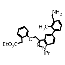 CCOC(=O)Cc1ccccc1OCc1nn(C(C)C)c2ccc(-c3cccc(CN)c3C)cc12